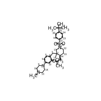 CCC1(Cc2ccc(N3CCN(C)CC3)cc2)CN(S(=O)(=O)c2ccc(C(C)(C)C)cc2)CC/C1=C/C(C)=O